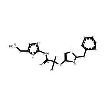 CC(C)(OC1=COC(Cc2ccccc2)O1)C(=O)Nc1nc(CC(=O)O)cs1